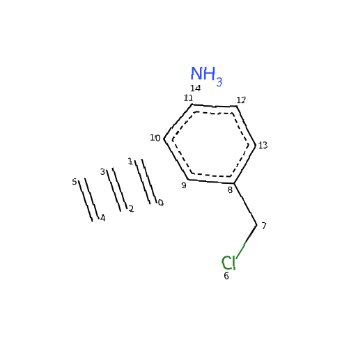 C=C.C=C.C=C.ClCc1ccccc1.N